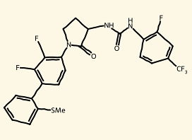 CSc1ccccc1-c1ccc(N2CCC(NC(=O)Nc3ccc(C(F)(F)F)cc3F)C2=O)c(F)c1F